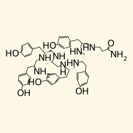 C[C@@H](CN[C@H](CN[C@H](CN[C@H](CNCCC(N)=O)Cc1ccc(O)cc1)Cc1ccc(O)cc1)Cc1ccc(O)cc1)NC[C@H](Cc1ccc(O)cc1)NC[C@@H](N)Cc1ccc(O)cc1